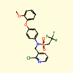 COc1ccccc1Oc1ccc(N(Cc2cccnc2Cl)S(=O)(=O)CC(F)(F)F)cc1